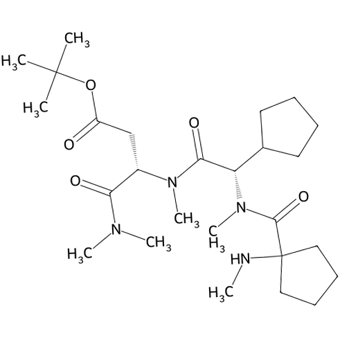 CNC1(C(=O)N(C)[C@H](C(=O)N(C)[C@@H](CC(=O)OC(C)(C)C)C(=O)N(C)C)C2CCCC2)CCCC1